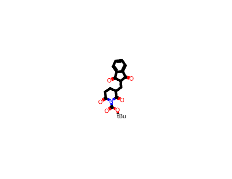 CC(C)(C)OC(=O)N1C(=O)CCC(CC2C(=O)c3ccccc3C2=O)C1=O